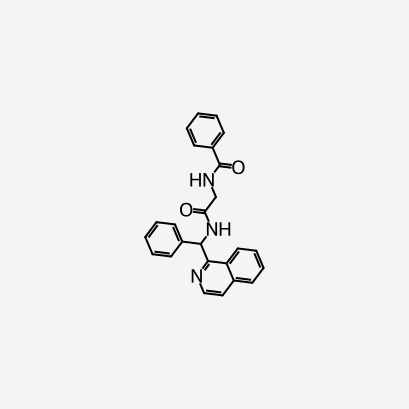 O=C(CNC(=O)c1ccccc1)NC(c1ccccc1)c1nccc2ccccc12